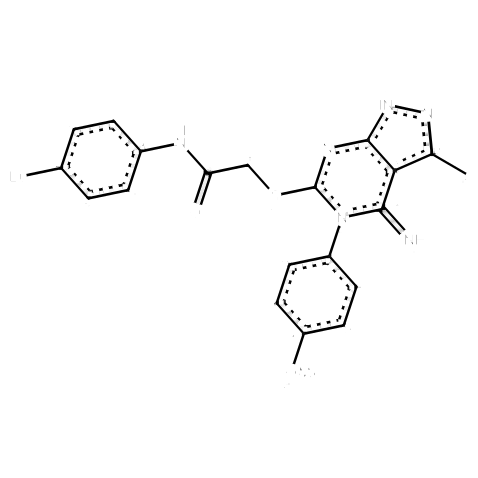 CCc1ccc(NC(=O)CSc2nc3[nH]nc(C)c3c(=N)n2-c2ccc(OC)cc2)cc1